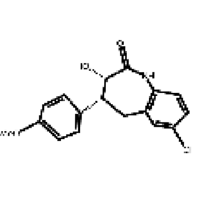 COc1ccc([C@H]2Cc3cc(Cl)ccc3NC(=O)[C@H]2O)cc1